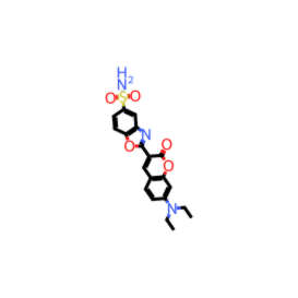 CCN(CC)c1ccc2cc(-c3nc4cc(S(N)(=O)=O)ccc4o3)c(=O)oc2c1